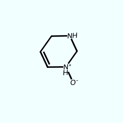 [O-][NH+]1C=CCNC1